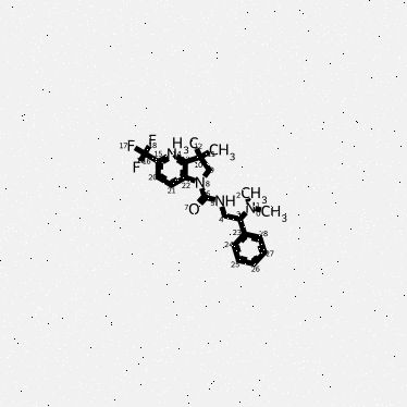 CN(C)C(CNC(=O)N1CC(C)(C)c2nc(C(F)(F)F)ccc21)c1ccccc1